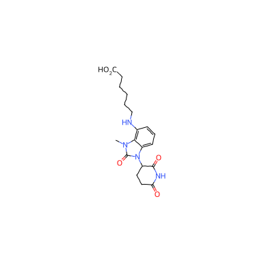 Cn1c(=O)n(C2CCC(=O)NC2=O)c2cccc(NCCCCCC(=O)O)c21